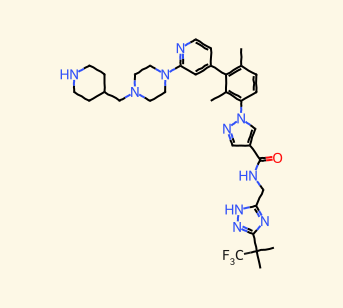 Cc1ccc(-n2cc(C(=O)NCc3nc(C(C)(C)C(F)(F)F)n[nH]3)cn2)c(C)c1-c1ccnc(N2CCN(CC3CCNCC3)CC2)c1